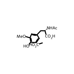 CC(=O)O.COc1cc(C[C@H](NC(C)=O)C(=O)O)ccc1O